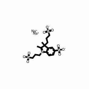 CC1=[N+](CCCS(=O)(=O)[O-])c2ccc(S(=O)(=O)[O-])cc2C1(C)CCCS(=O)(=O)[O-].[Na+].[Na+]